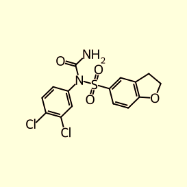 NC(=O)N(c1ccc(Cl)c(Cl)c1)S(=O)(=O)c1ccc2c(c1)CCO2